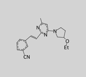 CCOC1CCN(c2cc(C)nc(C=Cc3cccc(C#N)c3)n2)C1